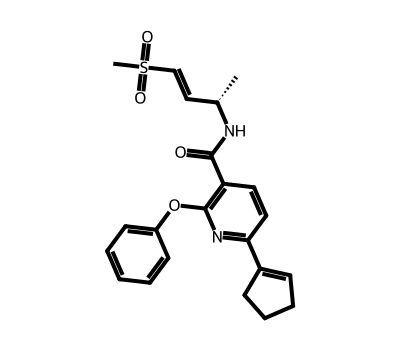 C[C@@H](/C=C/S(C)(=O)=O)NC(=O)c1ccc(C2=CCCC2)nc1Oc1ccccc1